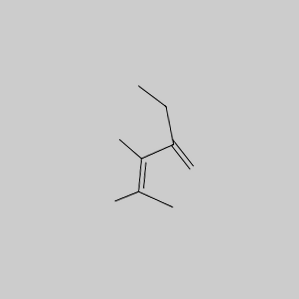 C=C(CC)C(C)=C(C)C